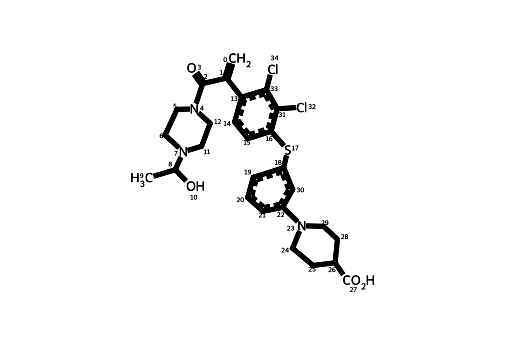 C=C(C(=O)N1CCN(C(C)O)CC1)c1ccc(Sc2cccc(N3CCC(C(=O)O)CC3)c2)c(Cl)c1Cl